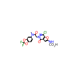 CN(C(=O)Cn1nc(Cl)c2oc(NC(=O)O)cc2c1=O)c1ccc2c(c1)OC(F)(F)O2